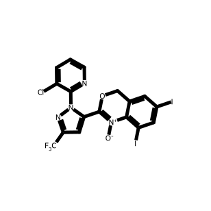 [O-][N+]1=C(c2cc(C(F)(F)F)nn2-c2ncccc2Cl)OCc2cc(I)cc(I)c21